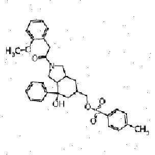 COc1ccccc1CC(=O)N1CC2CC(COS(=O)(=O)c3ccc(C)cc3)CC(O)(c3ccccc3)C2C1